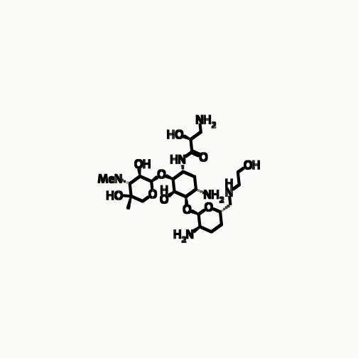 CN[C@@H]1[C@@H](O)[C@@H](O[C@@H]2[C@H](O)[C@H](O[C@H]3O[C@H](CNCCO)CC[C@H]3N)[C@@H](N)C[C@H]2NC(=O)[C@@H](O)CN)OC[C@]1(C)O